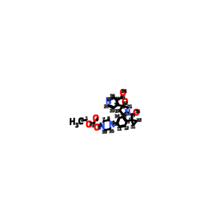 CCOC(=O)ON1CCN(c2ccc(C3(C(=O)N4CCC5(C4)OC(=O)c4cnccc45)CC3)cc2)CC1